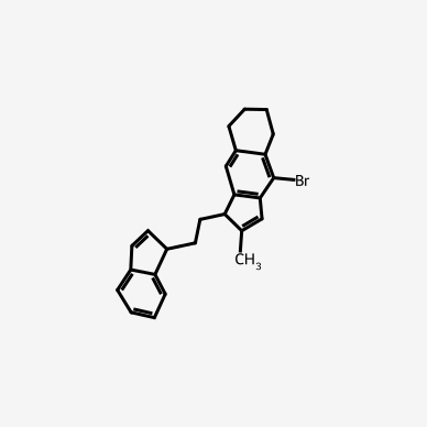 CC1=Cc2c(cc3c(c2Br)CCCC3)C1CCC1C=Cc2ccccc21